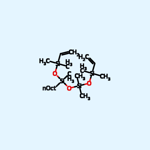 C=C[Si](C)(C)O[Si](C)(C)O[Si](C)(CCCCCCCC)O[Si](C)(C)C=C